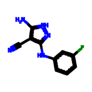 N#Cc1c(Nc2cccc(F)c2)n[nH]c1N